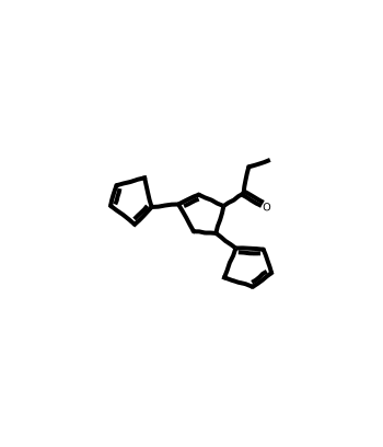 CCC(=O)C1C=C(C2=CC=CC2)CC1C1=CC=CC1